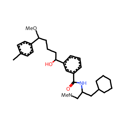 CNCC(CC1CCCCC1)NC(=O)c1cccc(C(O)CCCC(OC)c2ccc(C)cc2)c1